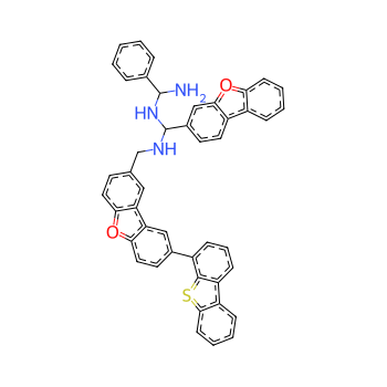 NC(NC(NCc1ccc2oc3ccc(-c4cccc5c4sc4ccccc45)cc3c2c1)c1ccc2c(c1)oc1ccccc12)c1ccccc1